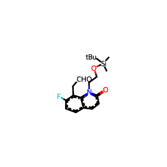 CC(C)(C)[Si](C)(C)OCCn1c(=O)ccc2ccc(F)c(CC=O)c21